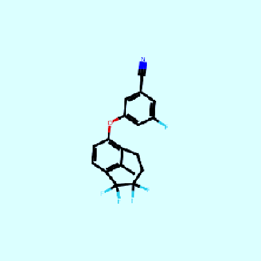 Cc1c2ccc(Oc3cc(F)cc(C#N)c3)c1CCC(F)(F)C2(F)F